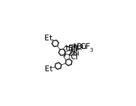 CCc1ccc(-c2cccc3c2C=C(CC(C)(C)C)[CH]3[Zr]([Cl])([Cl])([CH]2C(CC(C)(C)C)=Cc3c(-c4ccc(CC)cc4)cccc32)[SiH](C)CCC(F)(F)F)cc1